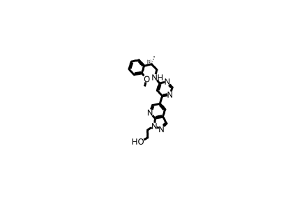 COc1ccccc1[C@H](C)CNc1cc(-c2cnc3c(cnn3CCO)c2)ncn1